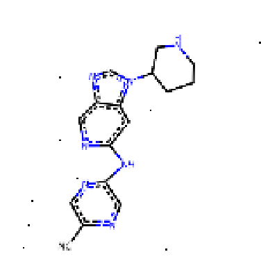 N#Cc1cnc(Nc2cc3c(cn2)ncn3C2CCCNC2)cn1